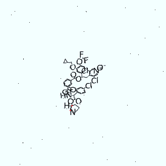 O=C(OC(Cc1c(Cl)c[n+]([O-])cc1Cl)c1ccc(OC(F)F)c(OCC2CC2)c1)c1cccc(S(=O)(=O)NC(C(=O)O[C@H]2CN3CCC2CC3)c2ccc(Cl)cc2)c1